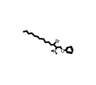 CCCCCCCCCCCC(Br)C(COc1ccccc1)N(C)C